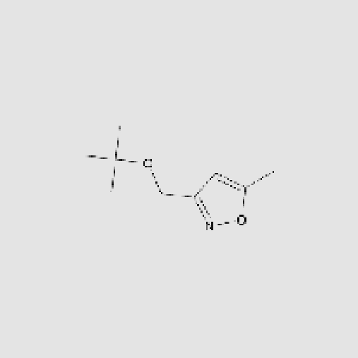 Cc1cc(COC(C)(C)C)no1